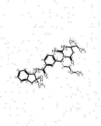 CC[C@@]1(C)CC(=O)N([C@H](CCOC)c2cccc(C(=O)N[C@@H]3c4ccccc4C[C@@]3(C)O)c2)C(=N)N1